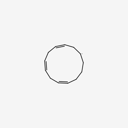 [CH]1CC=CCC=CCC=CCCC1